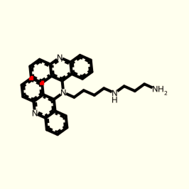 NCCCNCCCCN(c1c2ccccc2nc2ccccc12)c1c2ccccc2nc2ccccc12